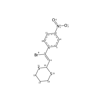 O=[N+]([O-])c1ccc(/C(Br)=C/C2SCCCS2)cc1